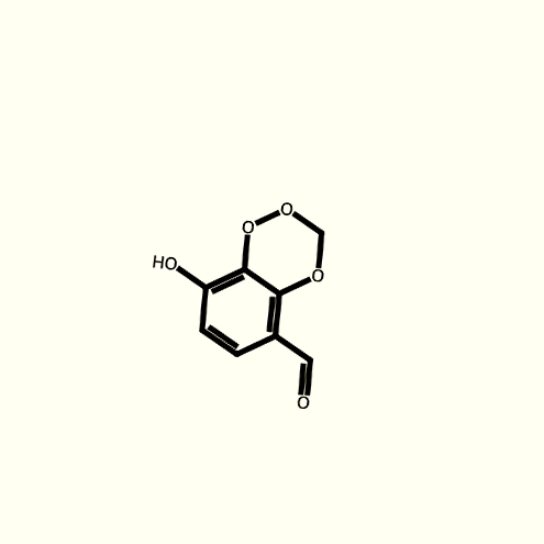 O=Cc1ccc(O)c2c1OCOO2